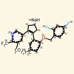 O=C(O)c1cc(C2=C(c3cc(C(F)(F)F)ccc3OCc3ccc(F)cc3F)CCC2)cnc1C(F)(F)F.[NaH]